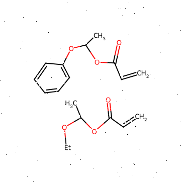 C=CC(=O)OC(C)OCC.C=CC(=O)OC(C)Oc1ccccc1